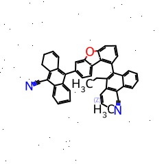 C/C=C\c1c(CC)c(-c2cccc3oc4cc(-c5c6c(c(C#N)c7ccccc57)CCC=C6)ccc4c23)c2ccccc2c1C#N